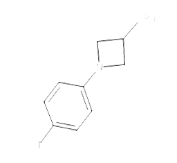 CC(C)(C)C1CN(c2ccc(Cl)cc2)C1